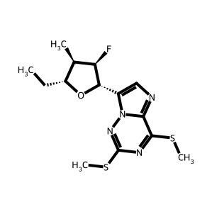 CC[C@H]1O[C@@H](c2cnc3c(SC)nc(SC)nn23)[C@H](F)[C@@H]1C